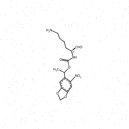 CC(OC(=O)N[C@H]([C]=O)CCCCN)c1cc2c(cc1[N+](=O)[O-])OCO2